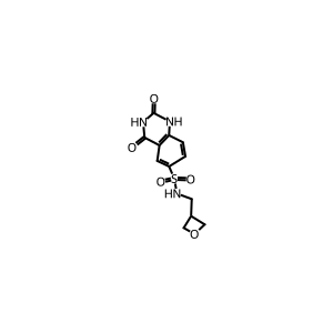 O=c1[nH]c(=O)c2cc(S(=O)(=O)NCC3COC3)ccc2[nH]1